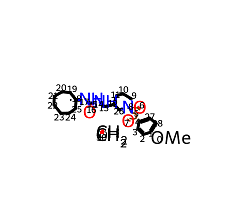 COc1ccc(S(=O)(=O)N2CCCC(CNC(=O)N[C]3CCCCCCC3)C2)cc1.[CH2].[CH2]